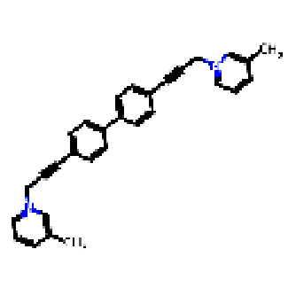 Cc1ccc[n+](CC#Cc2ccc(-c3ccc(C#CC[n+]4cccc(C)c4)cc3)cc2)c1